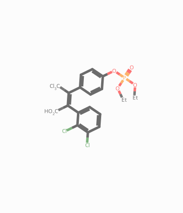 CCOP(=O)(OCC)Oc1ccc(C(=C(C(=O)O)c2cccc(Cl)c2Cl)C(Cl)(Cl)Cl)cc1